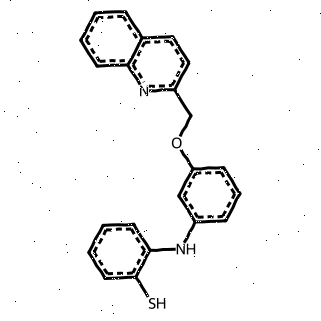 Sc1ccccc1Nc1cccc(OCc2ccc3ccccc3n2)c1